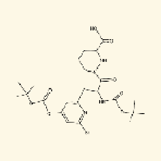 CC(C)(C)OC(=O)NC(Cc1cc(OC(=O)OC(C)(C)C)cc(Br)n1)C(=O)N1CCCC(C(=O)O)N1